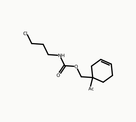 CC(=O)C1(COC(=O)NCCCCl)CC=CCC1